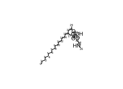 CCCCCCCCCCCCCCCCC(COP(=O)(O)OCCNC)CC(C)=O